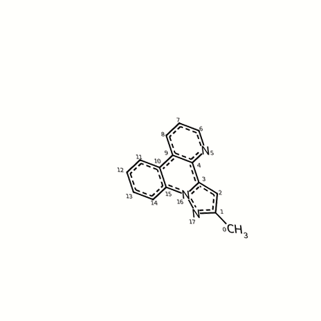 Cc1cc2c3ncccc3c3ccccc3n2n1